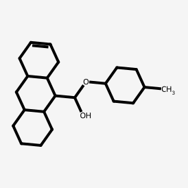 CC1CCC(OC(O)C2C3CC=CCC3CC3CCCCC32)CC1